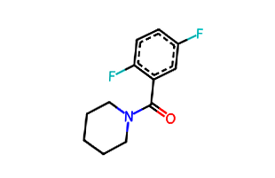 O=C(c1cc(F)ccc1F)N1CCCCC1